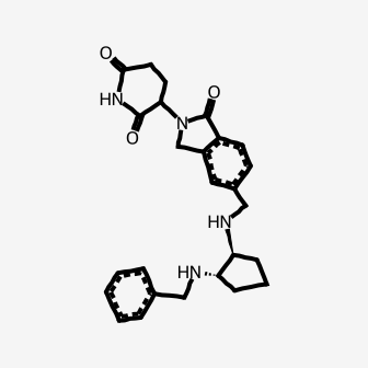 O=C1CCC(N2Cc3cc(CN[C@H]4CCC[C@@H]4NCc4ccccc4)ccc3C2=O)C(=O)N1